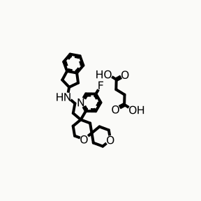 Fc1ccc(C2(CCNC3Cc4ccccc4C3)CCOC3(CCOCC3)C2)nc1.O=C(O)CCC(=O)O